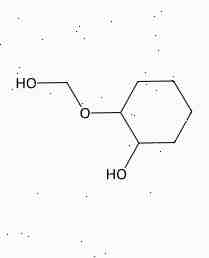 OCOC1CCCCC1O